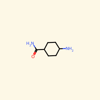 NC(=O)C1CCC(N)CC1